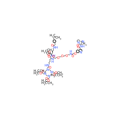 CC(C)Cc1ccc(CC(=O)NCCCCC(NC(=O)C(CCCCNC(=O)CN2CCN(CC(=O)OC(C)(C)C)CCN(CC(=O)OC(C)(C)C)CCN(CC(=O)OC(C)(C)C)CC2)NC(=O)CCOCCOCCOCCNC(=O)COc2ccc3c(C(=O)N[C@H](C)C(=O)N4CCC[C@H]4C#N)ccnc3c2)C(=O)OC(C)(C)C)cc1